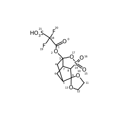 O=C(OC12CC3CC1C(C31OCCO1)S(=O)(=O)O2)C(F)(F)S(=O)(=O)O